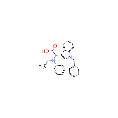 CCN(c1ccccc1)C(C(=O)O)c1cn(Cc2ccccc2)c2ccccc12